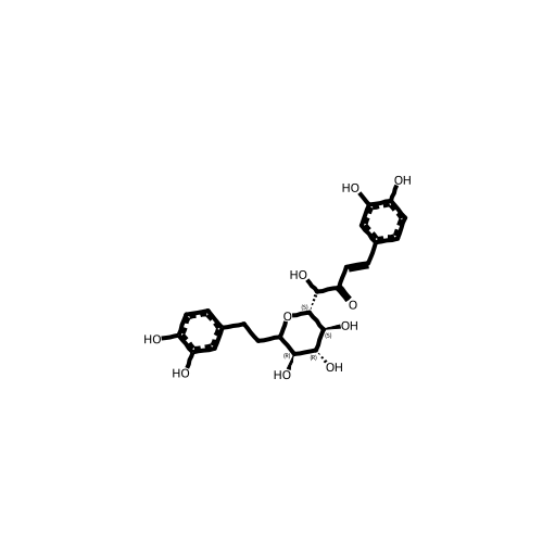 O=C(C=Cc1ccc(O)c(O)c1)C(O)[C@H]1OC(CCc2ccc(O)c(O)c2)[C@H](O)[C@@H](O)[C@@H]1O